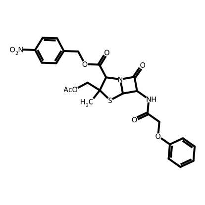 CC(=O)OCC1(C)SC2C(NC(=O)COc3ccccc3)C(=O)N2C1C(=O)OCc1ccc([N+](=O)[O-])cc1